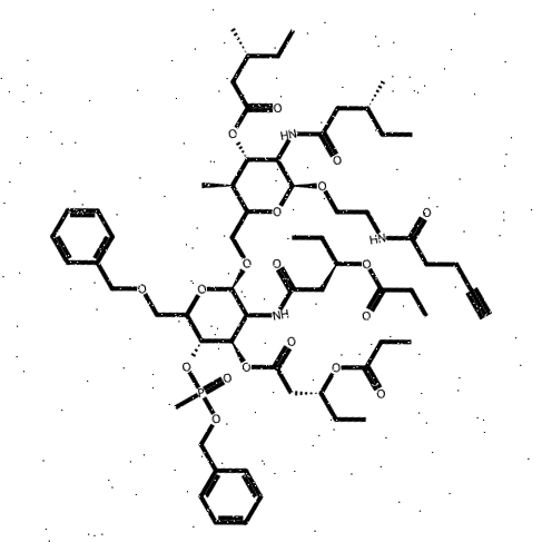 C#CCCC(=O)NCCO[C@H]1OC(CO[C@@H]2OC(COCc3ccccc3)[C@@H](OP(C)(=O)OCc3ccccc3)[C@H](OC(=O)C[C@@H](CC)OC(=O)CC)C2NC(=O)C[C@@H](CC)OC(=O)CC)[C@@H](C)[C@H](OC(=O)C[C@H](C)CC)C1NC(=O)C[C@H](C)CC